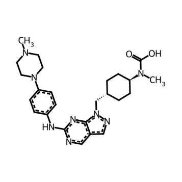 CN1CCN(c2ccc(Nc3ncc4cnn(C[C@H]5CC[C@H](N(C)C(=O)O)CC5)c4n3)cc2)CC1